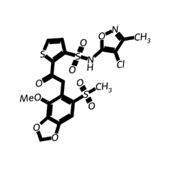 COc1c(CC(=O)c2sccc2S(=O)(=O)Nc2onc(C)c2Cl)c(S(C)(=O)=O)cc2c1OCO2